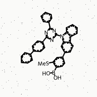 CSc1cc(-c2ccc3c4ccccc4n(-c4nc(-c5ccccc5)nc(-c5ccc(-c6ccccc6)cc5)n4)c3c2)ccc1B(O)O